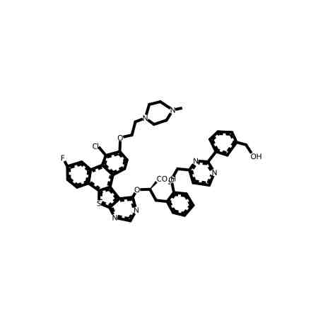 CN1CCN(CCOc2ccc3c(c2Cl)c2cc(F)ccc2c2sc4ncnc(O[C@H](Cc5ccccc5OCc5ccnc(-c6cccc(CO)c6)n5)C(=O)O)c4c32)CC1